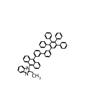 CCc1nc2ccccc2n1-c1c2ccccc2c(-c2cccc(-c3cccc(-c4cc(-c5ccccc5)c(-c5ccccc5)c(-c5ccccc5)c4-c4ccccc4)c3)c2)c2ccccc12